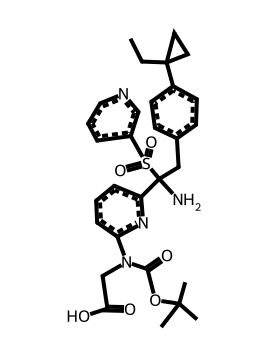 CCC1(c2ccc(CC(N)(c3cccc(N(CC(=O)O)C(=O)OC(C)(C)C)n3)S(=O)(=O)c3cccnc3)cc2)CC1